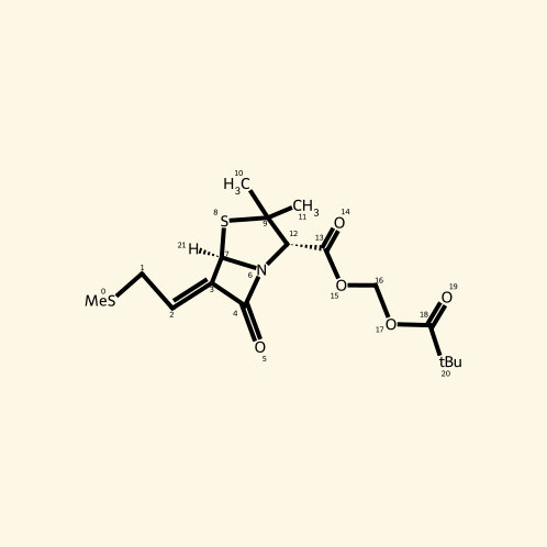 CSC/C=C1/C(=O)N2[C@@H]1SC(C)(C)[C@@H]2C(=O)OCOC(=O)C(C)(C)C